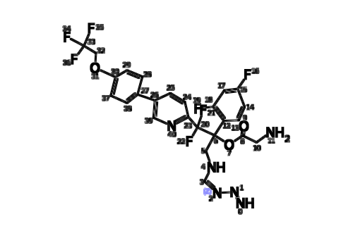 N=N/N=C\NCC(OC(=O)CN)(c1ccc(F)cc1F)C(F)(F)c1ccc(-c2ccc(OCC(F)(F)F)cc2)cn1